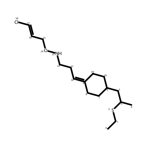 CCSC(C)CC1CCC(=CCCNOC/C=C/Cl)CC1